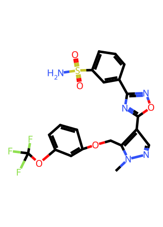 Cn1ncc(-c2nc(-c3cccc(S(N)(=O)=O)c3)no2)c1COc1cccc(OC(F)(F)F)c1